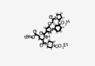 CCOC(=O)N1CCN(C(=O)C(CCC(=O)OC(C)(C)C)NC(=O)c2cc(OCC(=O)N3CCCC3C(=O)O)n(-c3ccccc3)n2)CC1